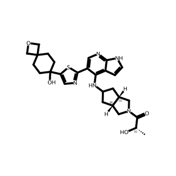 C[C@H](O)C(=O)N1C[C@H]2CC(Nc3c(-c4ncc(C5(O)CCC6(CC5)COC6)s4)cnc4[nH]ccc34)C[C@H]2C1